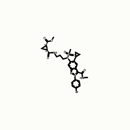 CNC(=O)c1c2cc(C3CC3)c(N(CCCNC(=O)[C@H]3C[C@H]3C(=O)OC)S(C)(=O)=O)cc2nn1-c1ccc(Br)cc1